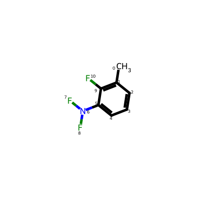 Cc1cccc(N(F)F)c1F